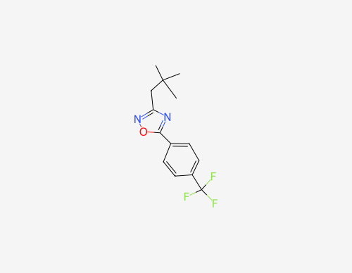 CC(C)(C)Cc1noc(-c2ccc(C(F)(F)F)cc2)n1